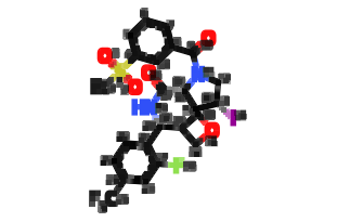 CCS(=O)(=O)c1cccc(C(=O)N2C[C@H](I)C[C@@H]2C(=O)N[C@@H](c2ccc(C(F)(F)F)cc2F)C2COC2)c1